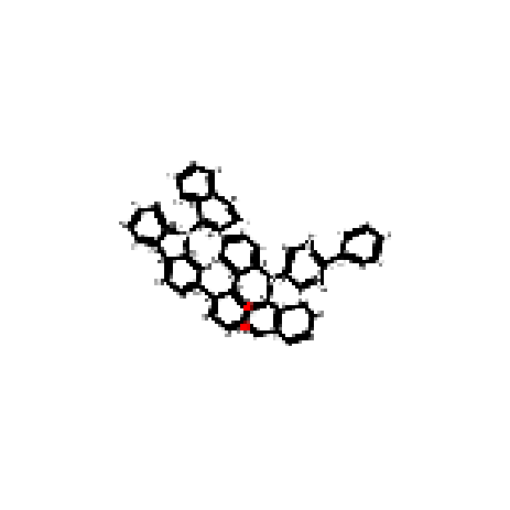 C1=Cc2cccc(N(c3cnc(-c4ccccc4)nc3)c3ccccc3-c3ccccc3-c3ccc4c5ccccc5n(-c5cccc6ccccc56)c4c3)c2CC1